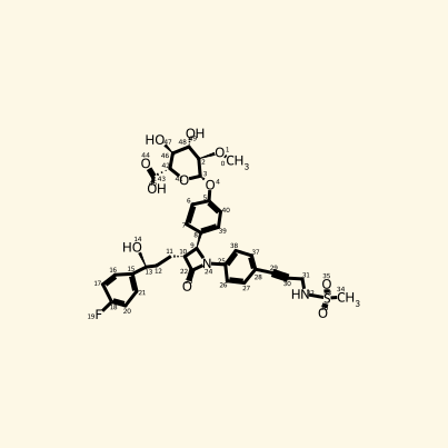 CO[C@H]1[C@H](Oc2ccc([C@@H]3[C@@H](CC[C@H](O)c4ccc(F)cc4)C(=O)N3c3ccc(C#CCNS(C)(=O)=O)cc3)cc2)O[C@H](C(=O)O)[C@@H](O)[C@@H]1O